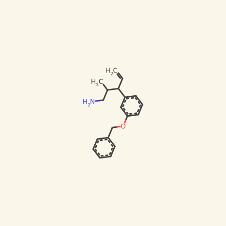 C=CC(c1cccc(OCc2ccccc2)c1)C(C)CN